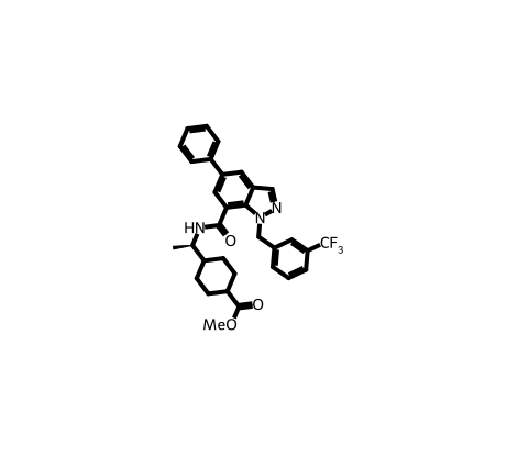 COC(=O)C1CCC([C@@H](C)NC(=O)c2cc(-c3ccccc3)cc3cnn(Cc4cccc(C(F)(F)F)c4)c23)CC1